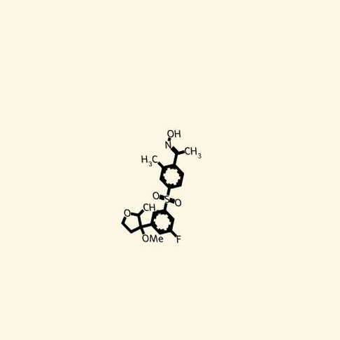 COC1(c2cc(F)cc(S(=O)(=O)c3ccc(C(C)=NO)c(C)c3)c2)CCOC1C